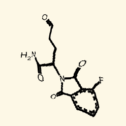 NC(=O)C(CCC=O)N1C(=O)c2cccc(F)c2C1=O